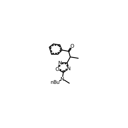 CCCCN(C)c1nc(C(C)C(=O)c2ccccc2)no1